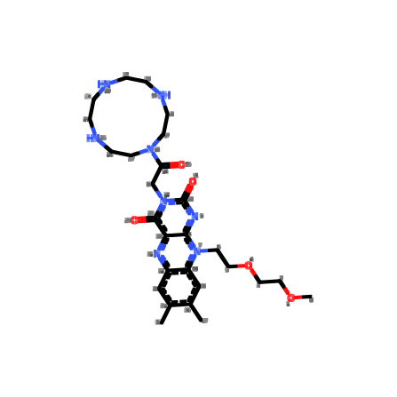 COCCOCCn1c2nc(=O)n(CC(=O)N3CCNCCNCCNCC3)c(=O)c-2nc2cc(C)c(C)cc21